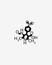 CC1=C(NC=O)C(c2ccc([N+](=O)[O-])cc2)C(C(=O)O)=C(C)N1